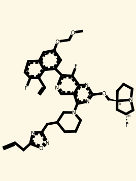 C=CCc1nc(CC2CCCN(c3nc(OC[C@@]45CCCN4C[C@H](F)C5)nc4c(F)c(-c5cc(OCOC)cc6ccc(F)c(C=C)c56)ncc34)C2)no1